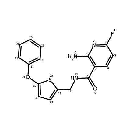 Nc1nc(F)ccc1C(=O)NCc1ccc(Oc2ccccc2)s1